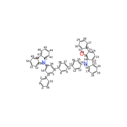 c1ccc(-c2cc(-c3ccc(-c4ccc(-n5c6ccccc6c6ccc7c8ccccc8oc7c65)cc4)cc3)cc(-n3c4ccccc4c4ccccc43)c2)cc1